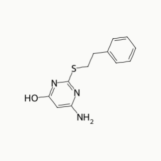 Nc1cc(O)nc(SCCc2ccccc2)n1